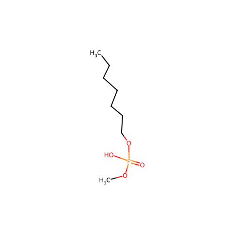 CCCCCCCOP(=O)(O)OC